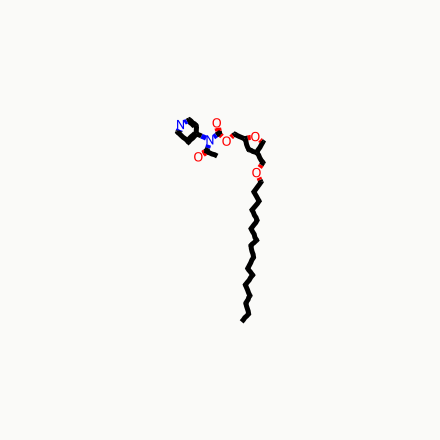 CCCCCCCCCCCCCCCCOCC1COC(COC(=O)N(C(C)=O)c2ccncc2)C1